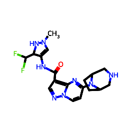 CN1C=C(NC(=O)c2cnn3ccc(N4C5CCC4CNC5)nc23)C(C(F)F)N1